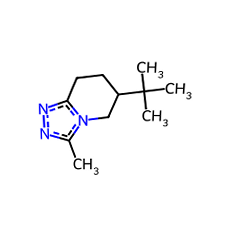 Cc1nnc2n1CC(C(C)(C)C)CC2